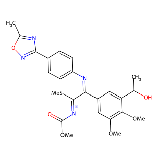 COC(=O)/N=C(\SC)C(=Nc1ccc(-c2noc(C)n2)cc1)c1cc(OC)c(OC)c(C(C)O)c1